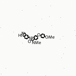 CNC(C(=O)Nc1ccc2[nH]ncc2c1)c1ccc(Oc2ccc(OC)cc2)cc1